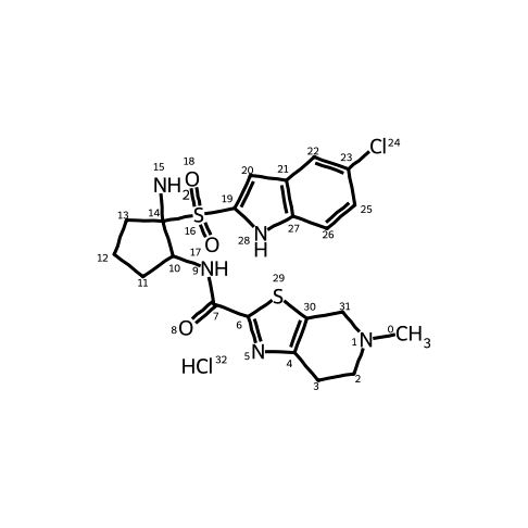 CN1CCc2nc(C(=O)NC3CCCC3(N)S(=O)(=O)c3cc4cc(Cl)ccc4[nH]3)sc2C1.Cl